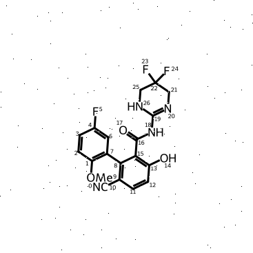 COc1ccc(F)cc1-c1c(C#N)ccc(O)c1C(=O)NC1=NCC(F)(F)CN1